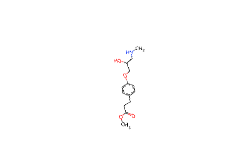 CNCC(O)COc1ccc(CCC(=O)OC)cc1